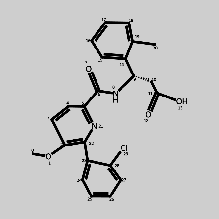 COc1ccc(C(=O)N[C@@H](CC(=O)O)c2ccccc2C)nc1-c1ccccc1Cl